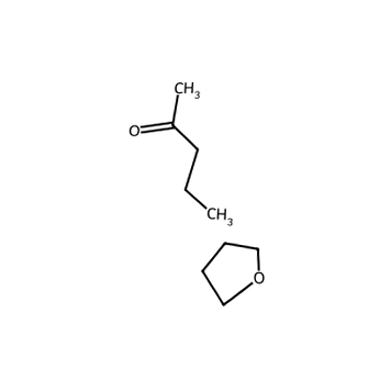 C1CCOC1.CCCC(C)=O